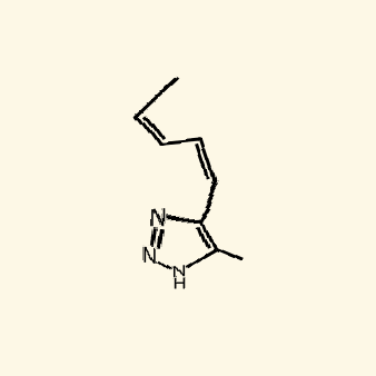 C/C=C\C=C/c1nn[nH]c1C